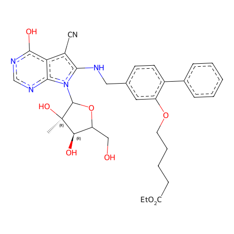 CCOC(=O)CCCCOc1cc(CNc2c(C#N)c3c(O)ncnc3n2C2OC(CO)[C@@H](O)[C@@]2(C)O)ccc1-c1ccccc1